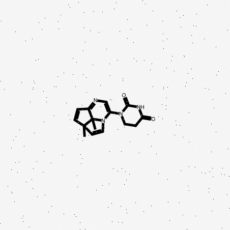 CC12C=CC3=NC=C(N4CCC(=O)NC4=O)N(C=C1)C32C